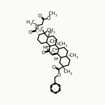 COC(=O)CN(C)C(=O)[C@H]1CC[C@]2(C)[C@H]3C(=O)C=C4[C@@H]5C[C@@](C)(C(=O)OCc6ccccc6)CC[C@]5(C)CC[C@@]4(C)[C@]3(C)CC[C@H]2C1(C)C